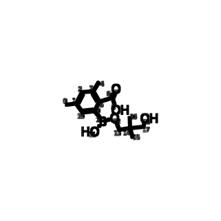 Cc1cc(C)c(C(=O)O)c(B(O)OCC(C)(C)CO)c1